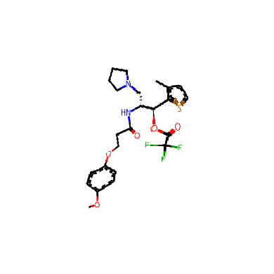 COc1ccc(OCCC(=O)N[C@H](CN2CCCC2)[C@H](OC(=O)C(F)(F)F)c2sccc2C)cc1